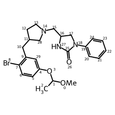 COC(C)Oc1ccc(Br)c(CC2CCN(CC3CN(c4ccccc4)C(=O)N3)C2)c1